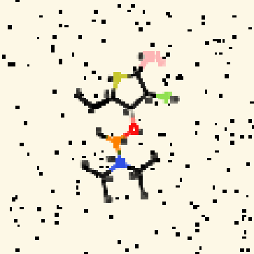 B[C@@H]1S[C@H](CC)[C@@H](OP(C)N(C(C)C)C(C)C)[C@@H]1F